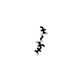 CCC(C)(C)C(=O)OCCOC(=O)C(C)(CC)CC(C)(C)C(C)=O